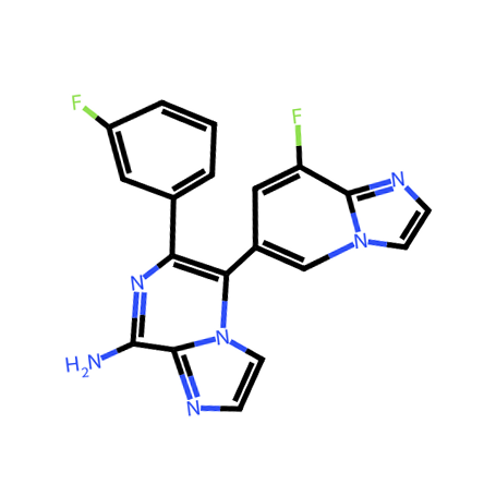 Nc1nc(-c2cccc(F)c2)c(-c2cc(F)c3nccn3c2)n2ccnc12